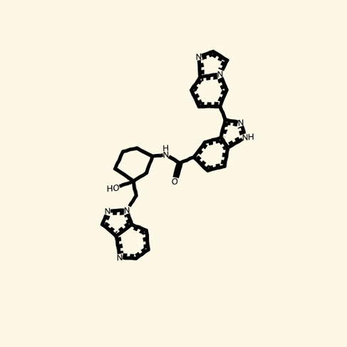 O=C(NC1CCCC(O)(Cn2ncc3ncccc32)C1)c1ccc2[nH]nc(-c3ccc4nccn4c3)c2c1